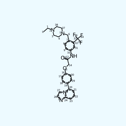 CCN1CCN(Cc2ccc(NC(=O)COc3ccc(-c4cccc5nccn45)cc3)cc2C(F)(F)F)CC1